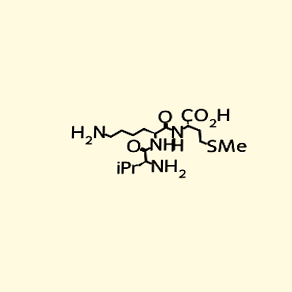 CSCC[C@H](NC(=O)[C@H](CCCCN)NC(=O)[C@@H](N)C(C)C)C(=O)O